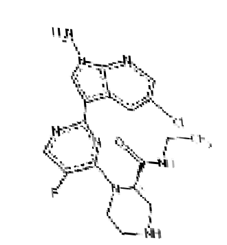 Nn1cc(-c2ncc(F)c(N3CCNC[C@@H]3C(=O)NCC(F)(F)F)n2)c2cc(Cl)cnc21